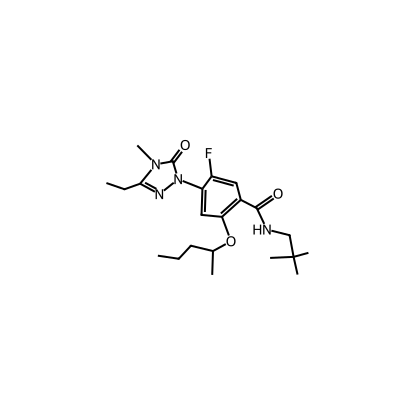 CCCC(C)Oc1cc(-n2nc(CC)n(C)c2=O)c(F)cc1C(=O)NCC(C)(C)C